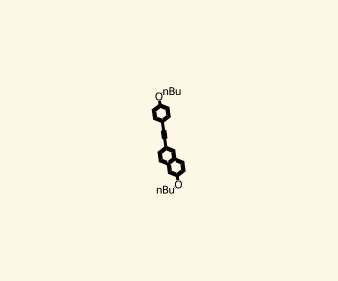 CCCCOc1ccc(C#Cc2ccc3cc(OCCCC)ccc3c2)cc1